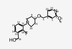 COc1cc(COC2CCN(c3cccc(CO)c3F)CC2)ccn1